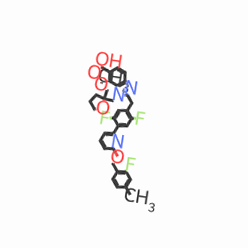 COCC1(Cn2c(Cc3cc(F)c(-c4cccc(OCc5ccc(C)cc5F)n4)cc3F)nc3ccc(C(=O)O)cc32)CCCO1